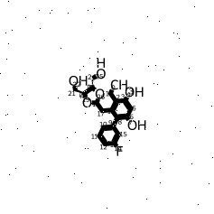 CCc1c(O)cc(O)c(-c2cccc(F)c2)c1CC1O[C@@H](CO)[C@H](CO)O1